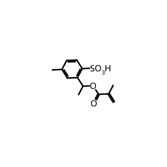 C=C(C)C(=O)OC(C)c1cc(C)ccc1S(=O)(=O)O